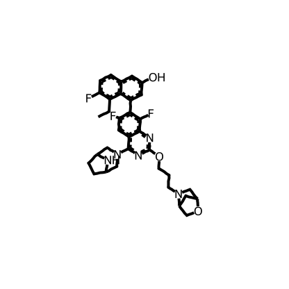 CCc1c(F)ccc2cc(O)cc(-c3c(F)cc4c(N5CC6CCC(C5)N6)nc(OCCCN5CC6CC5CO6)nc4c3F)c12